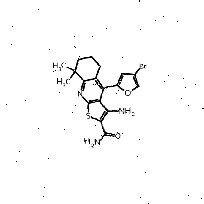 CC1(C)CCCc2c1nc1sc(C(N)=O)c(N)c1c2-c1cc(Br)co1